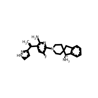 C=C(c1cc[nH]n1)c1cc(F)c(N2CCC3(CC2)Cc2ccccc2[C@H]3N)nc1N